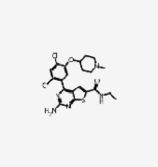 CCNC(=O)c1cc2c(-c3cc(OC4CCN(C)CC4)c(Cl)cc3Cl)nc(N)nc2s1